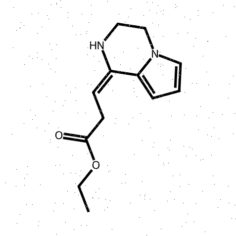 CCOC(=O)C/C=C1/NCCn2cccc21